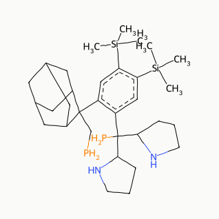 C[Si](C)(C)c1cc(C(P)(C2CCCN2)C2CCCN2)c(C2(CP)C3CC4CC(C3)CC2C4)cc1[Si](C)(C)C